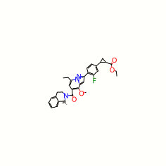 CCOC(=O)C1CC1c1ccc(-c2cc3c(OC)c(C(=O)N4CCc5ccccc5[C@H]4C)cc(CC)n3n2)c(F)c1